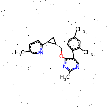 Cc1ccc([C@H]2C[C@@H]2COc2nc(C)ncc2-c2ccc(C)cc2C)nc1